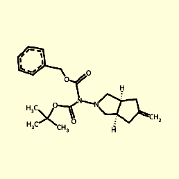 C=C1C[C@@H]2CN(N(C(=O)OCc3ccccc3)C(=O)OC(C)(C)C)C[C@@H]2C1